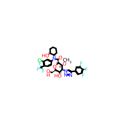 CO[C@@H]1[C@@H](n2cc(-c3cc(F)c(F)c(F)c3)nn2)[C@@H](O)[C@@H](CO)O[C@H]1C(=O)N(c1ccc(C(F)(F)F)c(Cl)c1)[C@H]1CCCC[C@@H]1O